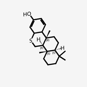 CC1(C)CCC[C@]2(C)[C@H]3CSC4C=C(O)C=CC4[C@]3(C)CC[C@@H]12